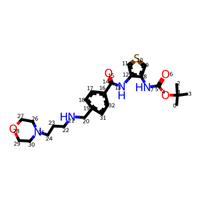 CC(C)(C)OC(=O)Nc1cscc1NC(=O)c1ccc(CNCCCN2CCOCC2)cc1